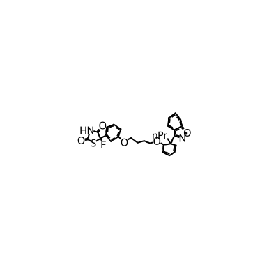 CCCC1(c2noc3ccccc23)C=CC=CC1OCCCCOc1cccc(C2(F)SC(=O)NC2=O)c1